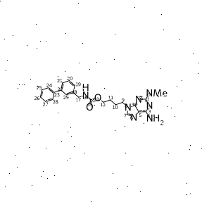 CNc1nc(N)c2ncn(CCCCOC(=O)NCc3cccc(-c4ccccc4)c3)c2n1